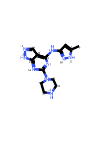 Cc1cc(Nc2nc(N3CCNCC3)nc3[nH]ncc23)n[nH]1